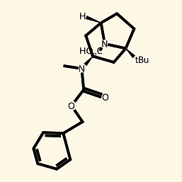 CN(C(=O)OCc1ccccc1)[C@H]1C[C@@H]2CC[C@](C(C)(C)C)(C1)N2C(=O)O